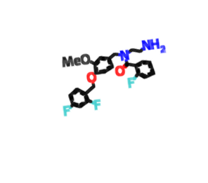 COc1cc(CN(CCN)C(=O)c2ccccc2F)ccc1OCc1ccc(F)cc1F